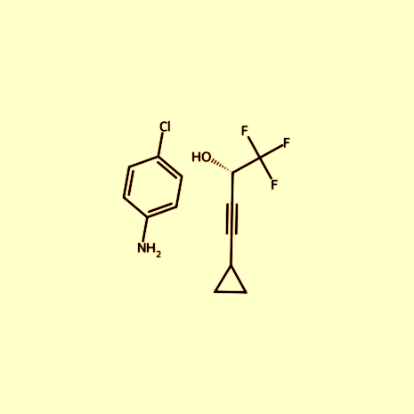 Nc1ccc(Cl)cc1.O[C@@H](C#CC1CC1)C(F)(F)F